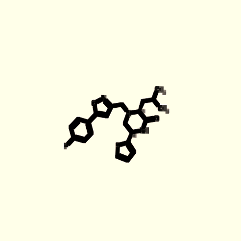 CC(C)C[C@H]1C(=O)N[C@@H](c2cccs2)CN1Cc1cc(-c2ccc(F)cc2)on1